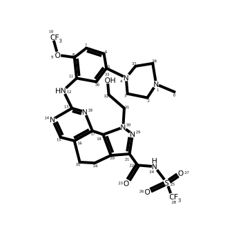 CN1CCN(c2ccc(OC(F)(F)F)c(Nc3ncc4c(n3)-c3c(c(C(=O)NS(=O)(=O)C(F)(F)F)nn3CCO)CC4)c2)CC1